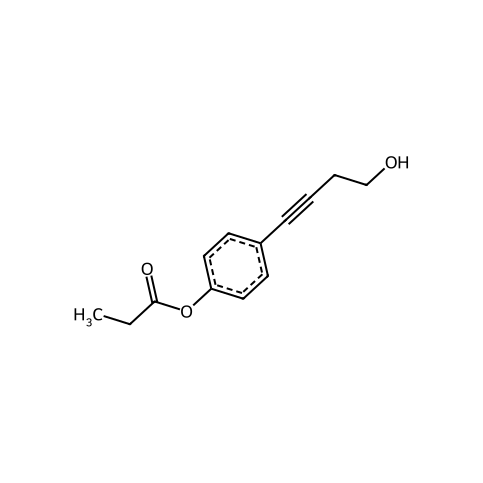 CCC(=O)Oc1ccc(C#CCCO)cc1